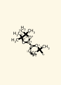 CC(C)OB(OC(C)(C)I)B1OC(C)(C)C(C)(C)O1